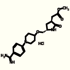 COC(=O)C[C@@H]1C[C@@H](COC2CCN(c3ccc(C(=N)N)cc3)CC2)NC1=O.Cl